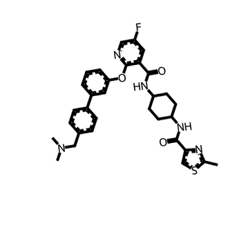 Cc1nc(C(=O)NC2CCC(NC(=O)c3cc(F)cnc3Oc3cccc(-c4ccc(CN(C)C)cc4)c3)CC2)cs1